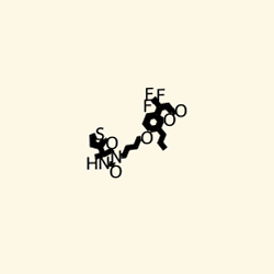 CCCc1c(OCCCCN2C(=O)NC(C)(c3ccsc3)C2=O)ccc2c(C(F)(F)F)cc(=O)oc12